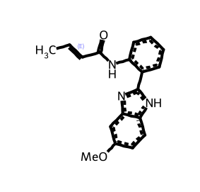 C/C=C/C(=O)Nc1ccccc1-c1nc2cc(OC)ccc2[nH]1